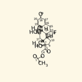 CC(=O)OCC(=O)[C@@]1(O)CC[C@H]2[C@@H]3C(F)CC4=CC(=O)C=C[C@]4(C)[C@H]3C(O)C[C@@]21C